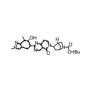 Cc1c(O)c(-c2ncc3c(=O)n(C4CC5C[C@H]4CN5C(=O)OC(C)(C)C)ccc3n2)cc2cn(C)nc12